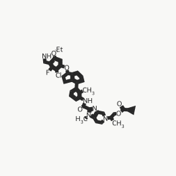 CCOc1cc(OC2CCc3c(-c4cccc(NC(=O)c5nc6c(n5C)CCN(C(C)COC(=O)C5CC5)C6)c4C)cccc32)c(Cl)c(F)c1CN